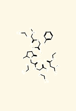 CCNC(=O)[C@@H](NC(=O)[C@H](CCN)NC(=O)[C@H](CCN)N1C(=O)[C@@H](NC(=O)[C@@H](Cc2ccccc2)NC(=O)[C@H](CCN)NC)CC1C)[C@@H](C)O